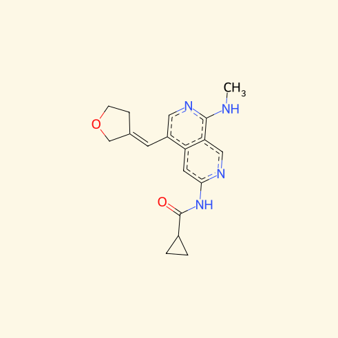 CNc1ncc(/C=C2\CCOC2)c2cc(NC(=O)C3CC3)ncc12